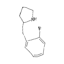 Fc1ccccc1CC1CCCN1